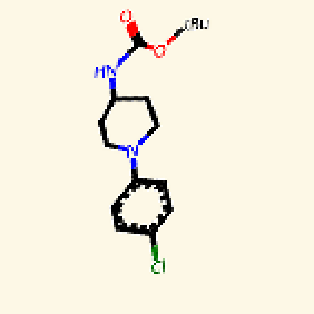 CC(C)(C)OC(=O)NC1CCN(c2ccc(Cl)cc2)CC1